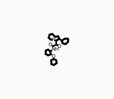 O=C(Nc1ccccc1Oc1ccccc1)C(=O)c1c(-c2ccccc2)cc2ccccn12